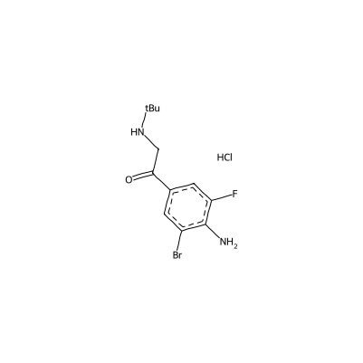 CC(C)(C)NCC(=O)c1cc(F)c(N)c(Br)c1.Cl